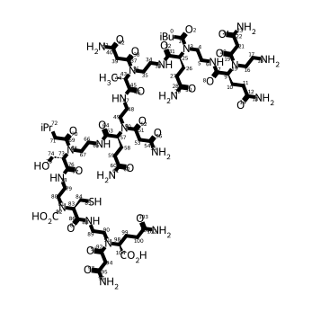 CCC(C)C(=O)N(CCNC(=O)[C@H](CCC(N)=O)N(CCN)C(=O)CC(N)=O)[C@@H](CCC(N)=O)C(=O)NCCN(C(=O)CC(N)=O)[C@@H](C)C(=O)NCCN(C(=O)CC(N)=O)[C@@H](CCC(N)=O)C(=O)NCCN(C(=O)CC(C)C)[C@@H](CO)C(=O)NCCN(C(=O)O)[C@@H](CS)C(=O)NCCN(C(=O)CC(N)=O)[C@@H](CCC(N)=O)C(=O)O